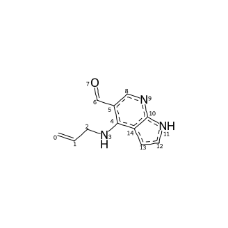 C=CCNc1c(C=O)cnc2[nH]ccc12